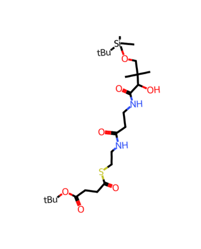 CC(C)(C)OC(=O)CCC(=O)SCCNC(=O)CCNC(=O)C(O)C(C)(C)CO[Si](C)(C)C(C)(C)C